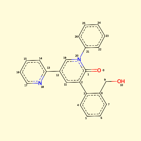 O=c1c(-c2ccccc2CO)cc(-c2ccccn2)cn1-c1ccccc1